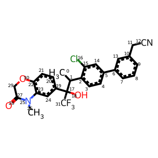 CC(c1ccc(-c2cccc(CC#N)c2)cc1Cl)C(O)(c1ccc2c(c1)N(C)C(=O)CO2)C(F)(F)F